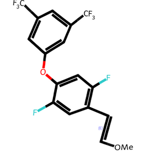 CO/C=C/c1cc(F)c(Oc2cc(C(F)(F)F)cc(C(F)(F)F)c2)cc1F